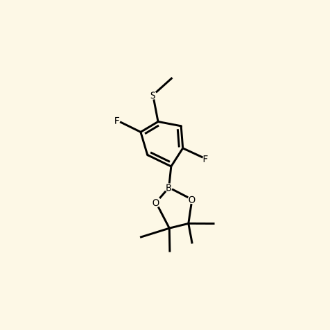 CSc1cc(F)c(B2OC(C)(C)C(C)(C)O2)cc1F